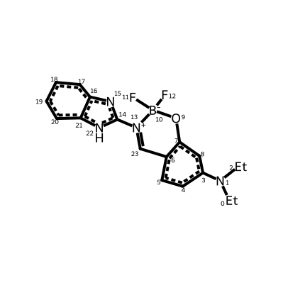 CCN(CC)c1ccc2c(c1)O[B-](F)(F)[N+](c1nc3ccccc3[nH]1)=C2